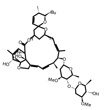 CC[C@H](C)[C@H]1OC2(C=C[C@@H]1C)C[C@@H]1C[C@@H](C/C=C(\C)[C@@H](O[C@H]3C[C@H](OC)[C@@H](O[C@H]4C[C@H](OC)[C@@H](O)[C@H](C)O4)[C@H](C)O3)[C@@H](C)/C=C/C=C3\CO[C@@H]4[C@H](O)C(C)=C[C@@H](C(=O)O1)[C@]34O)O2